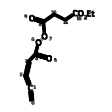 C=C=C=CC(=O)OOC(=O)CCC(=O)OCC